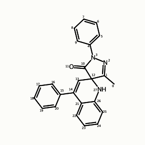 CC1=NN(c2ccccc2)C(=O)C12C=C(c1ccccc1)c1ccccc1N2